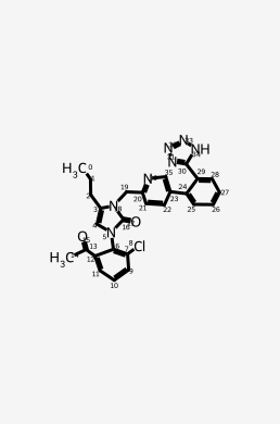 CCCc1cn(-c2c(Cl)cccc2C(C)=O)c(=O)n1Cc1ccc(-c2ccccc2-c2nnn[nH]2)cn1